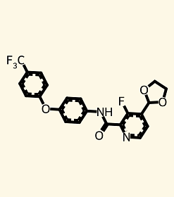 O=C(Nc1ccc(Oc2ccc(C(F)(F)F)cc2)cc1)c1nccc(C2OCCO2)c1F